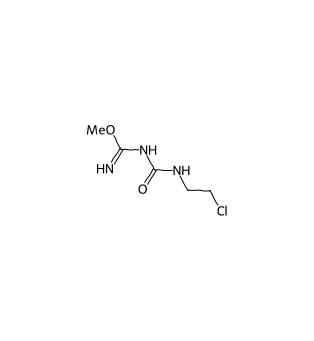 COC(=N)NC(=O)NCCCl